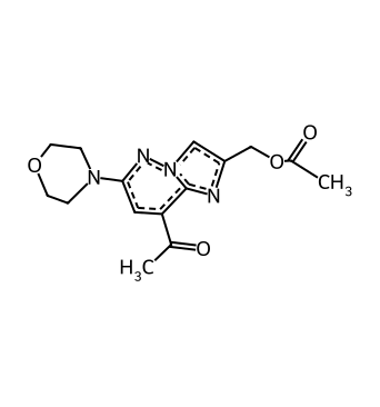 CC(=O)OCc1cn2nc(N3CCOCC3)cc(C(C)=O)c2n1